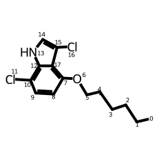 CCCC[CH]COc1ccc(Cl)c2[nH]cc(Cl)c12